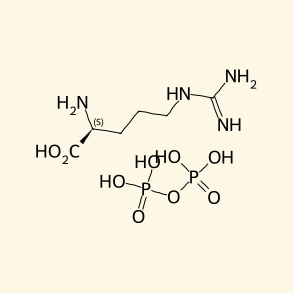 N=C(N)NCCC[C@H](N)C(=O)O.O=P(O)(O)OP(=O)(O)O